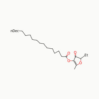 CCCCCCCCCCCCCCCCCCCCCCC(=O)OC1=C(C)OC(CC)C1=O